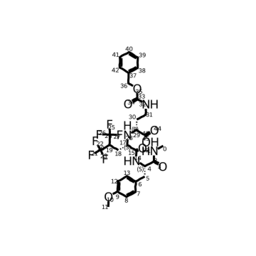 CNC(=O)[C@H](Cc1ccc(OC)cc1)NC(=O)[C@H](CC(C(F)(F)F)C(F)(F)F)N[C@H](CCNC(=O)OCc1ccccc1)C(=O)O